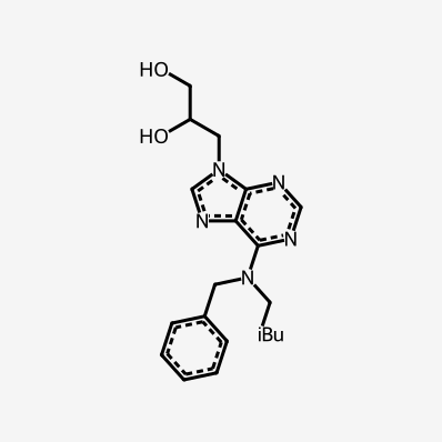 CCC(C)CN(Cc1ccccc1)c1ncnc2c1ncn2CC(O)CO